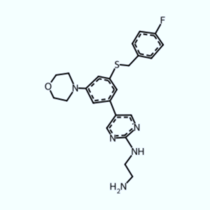 NCCNc1ncc(-c2cc(SCc3ccc(F)cc3)cc(N3CCOCC3)c2)cn1